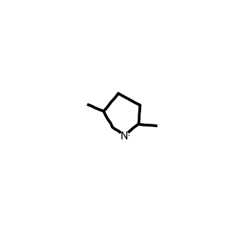 CC1CCC(C)[N]C1